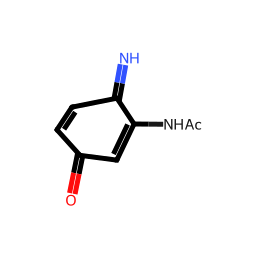 CC(=O)NC1=CC(=O)C=CC1=N